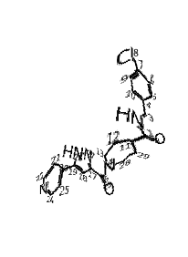 O=C(NCc1ccc(Cl)cc1)C1CCN(C(=O)c2cc(-c3ccncc3)[nH]n2)CC1